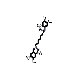 COc1cc(/C=N/CCCCCC/N=C/c2cc(OC)c(OC)cc2[N+](=O)[O-])c([N+](=O)[O-])cc1OC